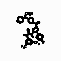 CN(C(=O)N(C)[C@@H]1CN(C(=O)[C@H]2CC[C@H](N(C(=O)O)C3CCOCC3)CC2)C[C@H]1c1ccc(F)cc1)c1cc(C(F)(F)F)cc(C(F)(F)F)c1